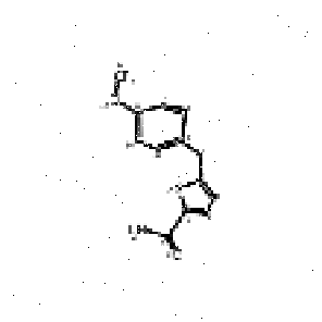 NC(=O)c1ccc(Cc2ccc(OC(F)(F)F)cc2)s1